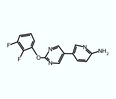 Nc1ccc(-c2cnc(Oc3cccc(F)c3F)nc2)cn1